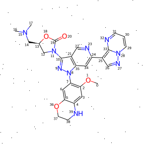 COc1cc2c(cc1-n1nc(N3C[C@@H](CN(C)C)OC3=O)c3cnc(-c4cnn5cccnc45)cc31)OCCN2